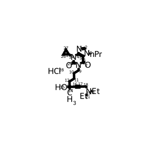 CCCn1cnc2c1c(=O)n(CCCCC(C)(O)C#CCN(CC)CC)c(=O)n2C1CC1.Cl